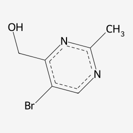 Cc1ncc(Br)c(CO)n1